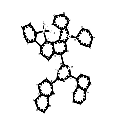 C[Si]1(C)c2ccccc2-c2ccc3c(-c4nc(-c5ccc6ccccc6c5)nc(-c5cccc6ccccc56)n4)cc4c(c5ccccc5n4-c4ccccc4)c3c21